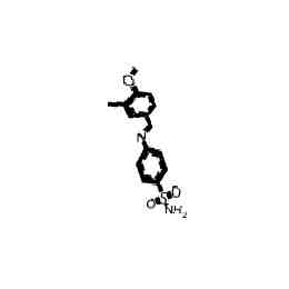 COc1ccc(C=Nc2ccc(S(N)(=O)=O)cc2)cc1C